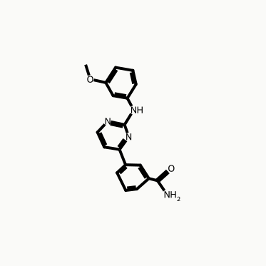 COc1cccc(Nc2nccc(-c3cccc(C(N)=O)c3)n2)c1